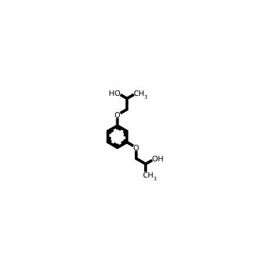 CC(O)COc1cccc(OCC(C)O)c1